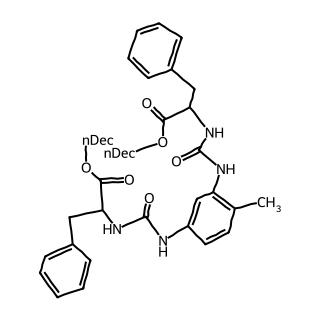 CCCCCCCCCCOC(=O)C(Cc1ccccc1)NC(=O)Nc1ccc(C)c(NC(=O)NC(Cc2ccccc2)C(=O)OCCCCCCCCCC)c1